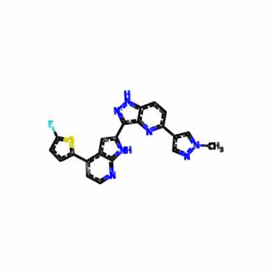 Cn1cc(-c2ccc3[nH]nc(-c4cc5c(-c6ccc(F)s6)ccnc5[nH]4)c3n2)cn1